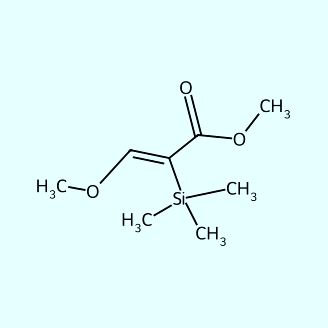 CO/C=C(/C(=O)OC)[Si](C)(C)C